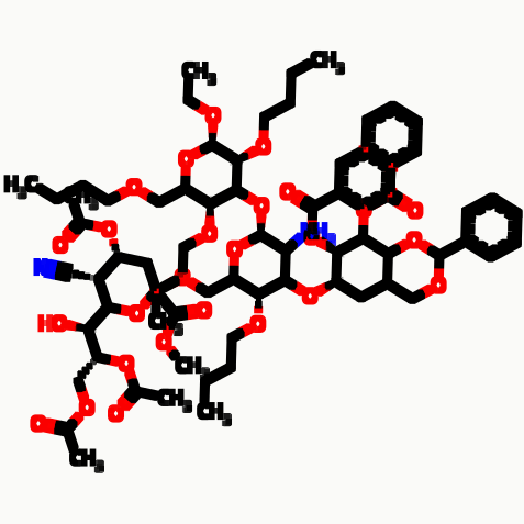 CCCCOCC1O[C@@H](OCC)[C@@H](OCCCC)C(O[C@@H]2OC(CO[C@]3(C(=O)OC)C[C@@H](OC(C)=O)[C@@H](C#N)C([C@H](O)[C@@H](COC(C)=O)OC(C)=O)O3)[C@@H](OCCCC)C(O[C@@H]3CC4COC(c5ccccc5)OC4C(OC(=O)c4ccccc4)[C@@H]3OC(=O)c3ccccc3)C2N)[C@H]1OCCCC